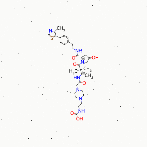 Cc1ncsc1-c1ccc(CCNC(=O)[C@@H]2C[C@@H](O)CN2C(=O)C(C)(C)[C@H](C)NC(=O)CN2CCN(CCNC(=O)O)CC2)cc1